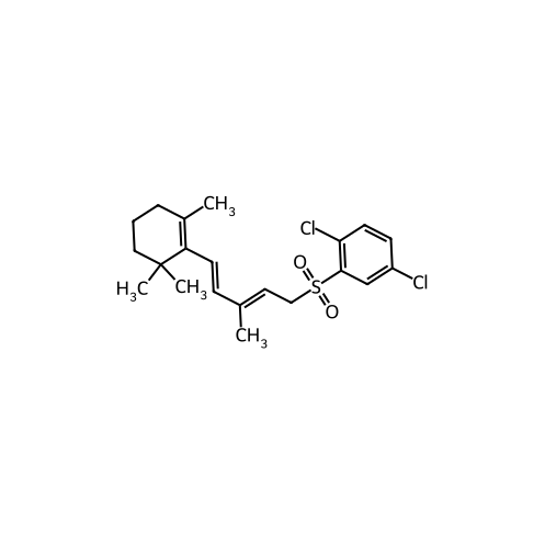 CC(C=CC1=C(C)CCCC1(C)C)=CCS(=O)(=O)c1cc(Cl)ccc1Cl